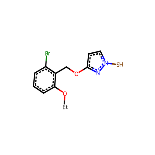 CCOc1cccc(Br)c1COc1ccn(S)n1